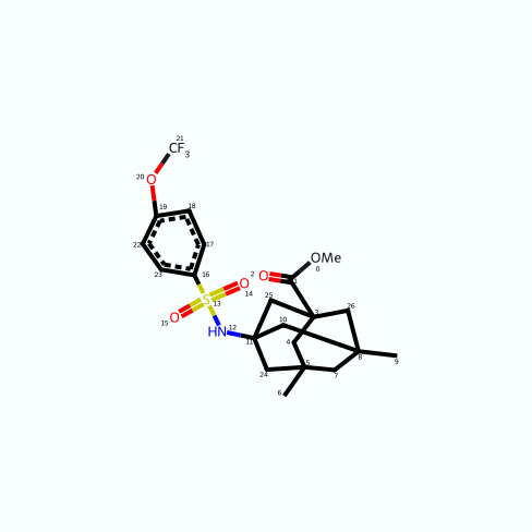 COC(=O)C12CC3(C)CC(C)(CC(NS(=O)(=O)c4ccc(OC(F)(F)F)cc4)(C3)C1)C2